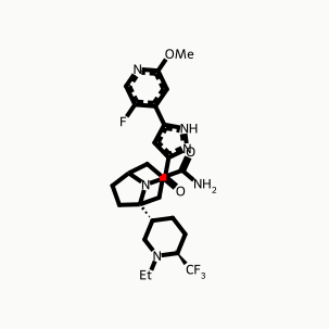 CCN1C[C@H](C23CCC(CC(C(N)=O)C2)N3C(=O)c2cc(-c3cc(OC)ncc3F)[nH]n2)CC[C@H]1C(F)(F)F